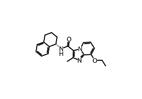 CCOc1cccn2c(C(=O)N[C@H]3CCCc4ccccc43)c(C)nc12